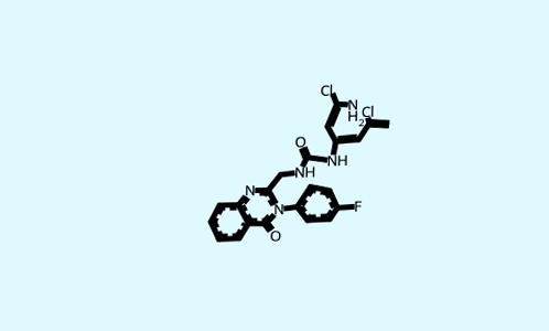 C=C(Cl)/C=C(\C=C(/N)Cl)NC(=O)NCc1nc2ccccc2c(=O)n1-c1ccc(F)cc1